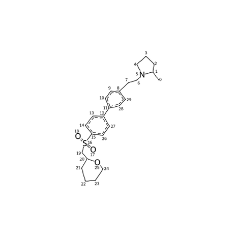 CC1CCCN1CCc1ccc(-c2ccc(S(=O)(=O)CC3CCCCO3)cc2)cc1